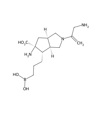 C=C(CN)N1C[C@@H]2C[C@@](N)(C(=O)O)[C@@H](CCCB(O)O)[C@@H]2C1